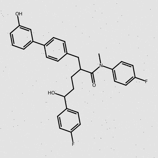 CN(C(=O)C(CCC(O)c1ccc(F)cc1)Cc1ccc(-c2cccc(O)c2)cc1)c1ccc(F)cc1